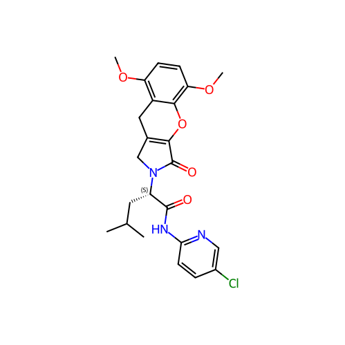 COc1ccc(OC)c2c1CC1=C(O2)C(=O)N([C@@H](CC(C)C)C(=O)Nc2ccc(Cl)cn2)C1